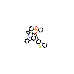 O=P1(c2ccccc2)c2ccccc2C2(c3ccccc3-n3c4ccccc4c4cccc2c43)c2cc(-c3ccc4sc5ccccc5c4c3)ccc21